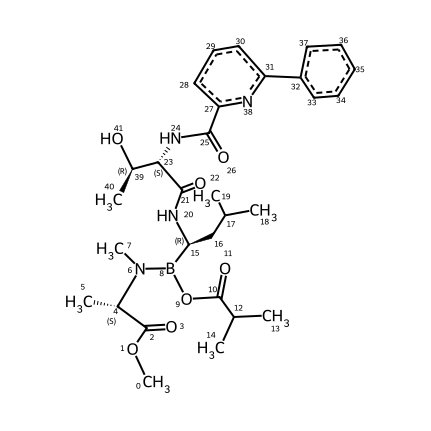 COC(=O)[C@H](C)N(C)B(OC(=O)C(C)C)[C@H](CC(C)C)NC(=O)[C@@H](NC(=O)c1cccc(-c2ccccc2)n1)[C@@H](C)O